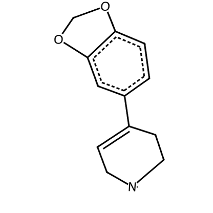 C1=C(c2ccc3c(c2)OCO3)CC[N]C1